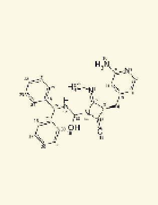 C/N=C1/[C@@H](Cc2ccnc(N)c2)C(=O)N1C(O)NC(c1ccccc1)c1ccccc1